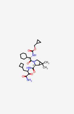 CC1(C)C2CN(C(=O)[C@@H](NC(=O)OCC3CC3)C3CCCCC3)[C@H](C(=O)NC(CC3CCC3)C(=O)C(N)=O)C21